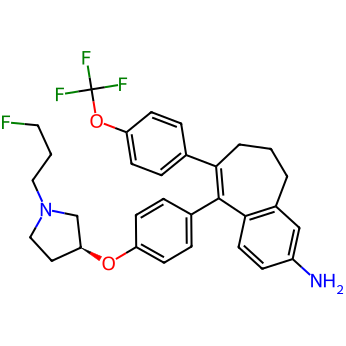 Nc1ccc2c(c1)CCCC(c1ccc(OC(F)(F)F)cc1)=C2c1ccc(O[C@H]2CCN(CCCF)C2)cc1